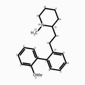 COc1ccccc1-c1ccccc1CCC1CCCCN1C